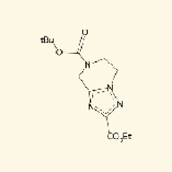 CCOC(=O)c1nc2n(n1)CCN(C(=O)OC(C)(C)C)C2